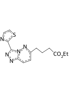 CCOC(=O)CCCc1ccc2nnc(-c3nccs3)n2n1